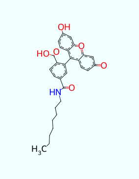 CCCCCCCCNC(=O)c1ccc(C(=O)O)c(-c2c3ccc(=O)cc-3oc3cc(O)ccc23)c1